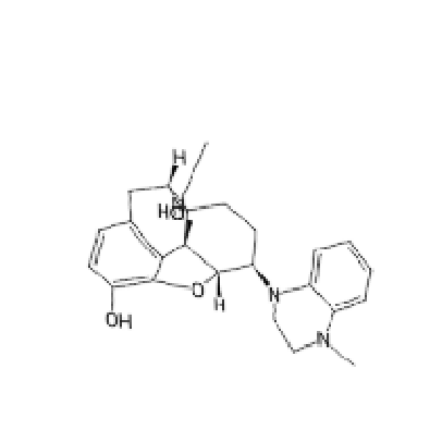 CN1CCN([C@@H]2CC[C@@]3(O)[C@H]4Cc5ccc(O)c6c5[C@@]3(CCN4C)[C@H]2O6)c2ccccc21